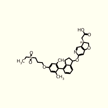 CCS(=O)(=O)CCCOc1cc(C)c(-c2cccc3c2CCC3Oc2cc3c(cn2)[C@@H](CC(=O)O)CO3)c(C)c1